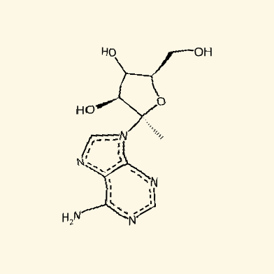 C[C@@]1(n2cnc3c(N)ncnc32)O[C@H](CO)C(O)[C@@H]1O